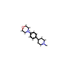 CN1CCC(c2ccc(N3CCOCC3)cc2)CC1